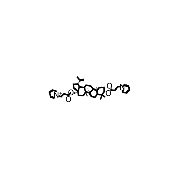 C=C(C)[C@@H]1CC[C@]2(COC(=O)CC[n+]3ccccc3)CC[C@]3(C)C(CCC4[C@@]5(C)CC[C@H](OC(=O)CC[n+]6ccccc6)C(C)(C)C5CC[C@]43C)C12